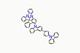 c1ccc2c(c1)-c1c(-n3c4ccccc4c4cc(-c5ccc(-n6c7ccccc7c7ccccc76)cc5)ccc43)cccc1C21c2ccccc2-n2c1nc1ccccc12